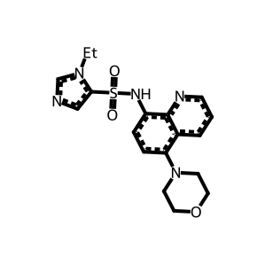 CCn1cncc1S(=O)(=O)Nc1ccc(N2CCOCC2)c2cccnc12